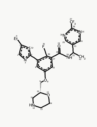 CCc1cnc(-c2cc(OC[C@H]3CNCCO3)cc(C(=O)NC(C)c3cnc(C(F)(F)F)nc3)c2F)s1